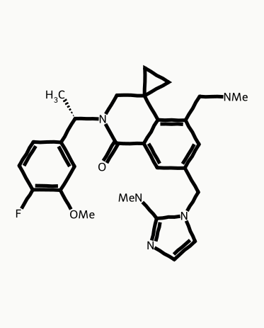 CNCc1cc(Cn2ccnc2NC)cc2c1C1(CC1)CN([C@@H](C)c1ccc(F)c(OC)c1)C2=O